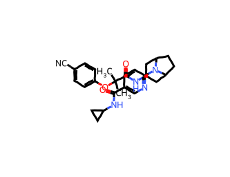 CC(C)(Oc1ccc(C#N)cc1)C(=O)NC1CC2CCC(C1)N2c1ccc(C(=O)NC2CC2)cn1